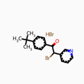 Br.CC(C)(C)c1ccc(C(=O)C(Br)c2cccnc2)cc1